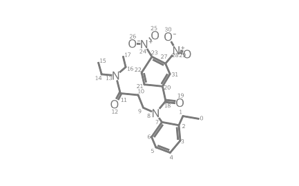 CCc1ccccc1N(CCC(=O)N(CC)CC)C(=O)c1ccc([N+](=O)[O-])c([N+](=O)[O-])c1